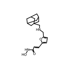 O=C(C=Cc1ccc(CNCC23CC4CC(CC(C4)C2)C3)o1)NO